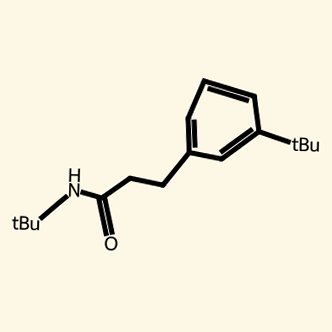 CC(C)(C)NC(=O)CCc1cccc(C(C)(C)C)c1